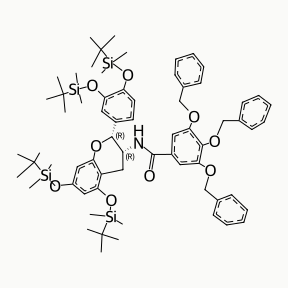 CC(C)(C)[Si](C)(C)Oc1cc2c(c(O[Si](C)(C)C(C)(C)C)c1)C[C@@H](NC(=O)c1cc(OCc3ccccc3)c(OCc3ccccc3)c(OCc3ccccc3)c1)[C@@H](c1ccc(O[Si](C)(C)C(C)(C)C)c(O[Si](C)(C)C(C)(C)C)c1)O2